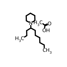 CC(=O)O.CCCCCCC(CCC)N1CCCCC1